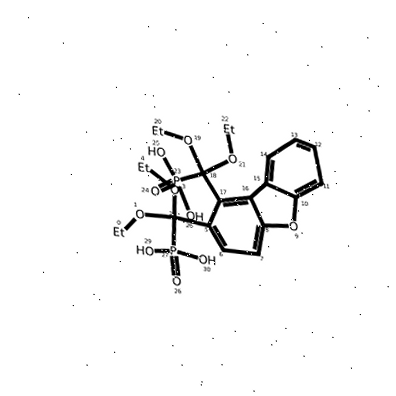 CCOC(OCC)(c1ccc2oc3ccccc3c2c1C(OCC)(OCC)P(=O)(O)O)P(=O)(O)O